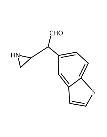 O=CC(c1ccc2sccc2c1)C1CN1